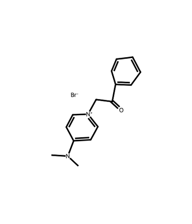 CN(C)c1cc[n+](CC(=O)c2ccccc2)cc1.[Br-]